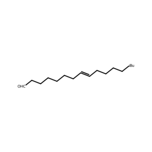 CCC(C)CCCC/C=C/CCCCCCC=O